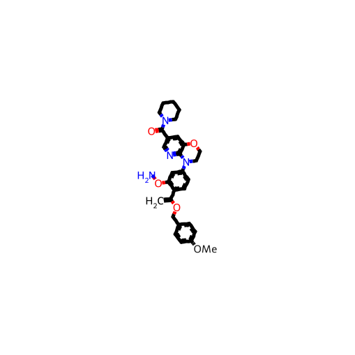 C=C(OCc1ccc(OC)cc1)c1ccc(N2CCOc3cc(C(=O)N4CCCCC4)cnc32)cc1ON